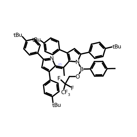 C/C(=C1/N=C(c2ccc(C(C)(C)C)cc2)C=C1c1ccc(C(C)(C)C)cc1)c1c(-c2ccc(C(C)(C)C)cc2)cc(-c2ccc(C(C)(C)C)cc2)n1B(OCC(F)(F)C(F)(F)F)c1ccc(C)cc1